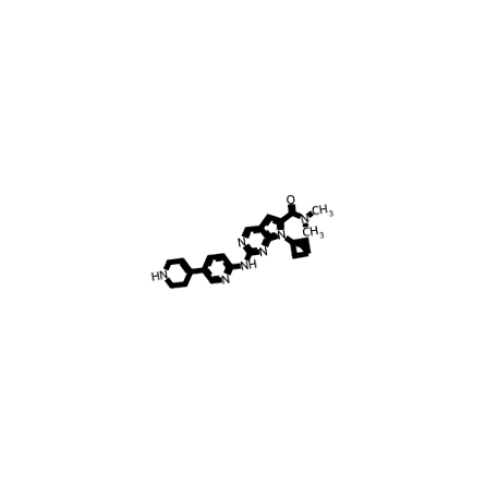 CN(C)C(=O)c1cc2cnc(Nc3ccc(C4=CCNCC4)cn3)nc2n1C12CC(C1)C2